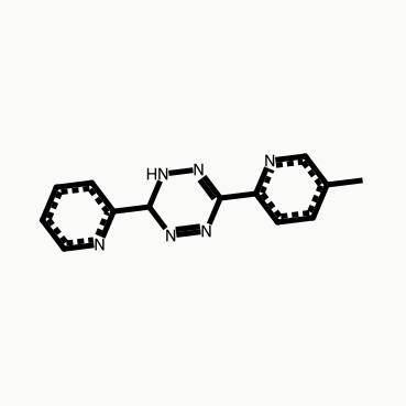 Cc1ccc(C2=NNC(c3ccccn3)N=N2)nc1